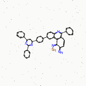 N=C1C=Cc2c(-c3ccccc3)nc3ccc(-c4ccc(-c5cc(-c6ccccc6)nc(-c6ccccc6)n5)cc4)cc3c2/C1=N/S